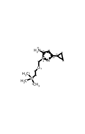 CS(C)(C)CCOCn1nc(C2CC2)cc1N